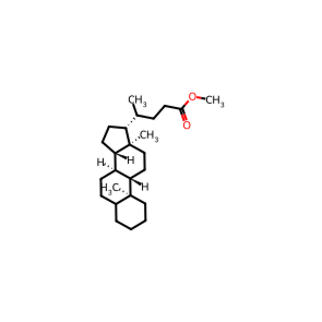 COC(=O)CCC(C)[C@H]1CC[C@H]2[C@@H]3CCC4CCCC[C@]4(C)[C@H]3CC[C@]12C